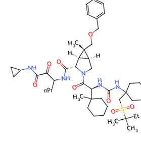 CCCC(NC(=O)[C@@H]1[C@@H]2[C@H](CN1C(=O)[C@@H](NC(=O)NC1(CS(=O)(=O)C(C)(C)CC)CCCCC1)C1(C)CCCCC1)[C@@]2(C)COCc1ccccc1)C(=O)C(=O)NC1CC1